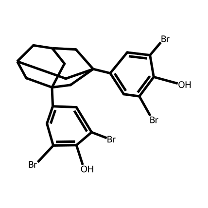 Oc1c(Br)cc(C23CC4CC(C2)CC(c2cc(Br)c(O)c(Br)c2)(C4)C3)cc1Br